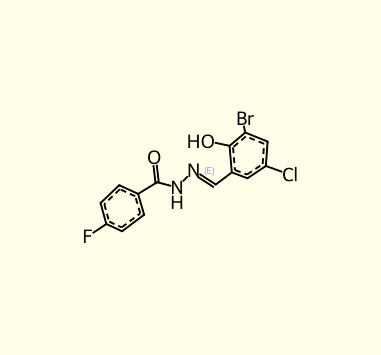 O=C(N/N=C/c1cc(Cl)cc(Br)c1O)c1ccc(F)cc1